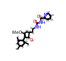 COC1=C(c2c(C)cc(C)cc2C)C(=O)C(CCNC(=O)NC(=O)c2ccccn2)C1